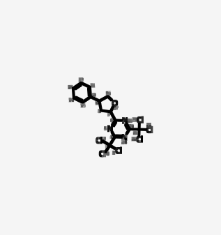 ClC(Cl)(Cl)c1nc(C2CC(c3ccccc3)CO2)nc(C(Cl)(Cl)Cl)n1